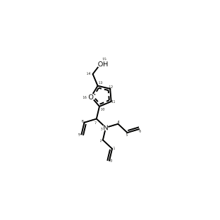 C=CCN(CC=C)C(C=C)c1ccc(CO)o1